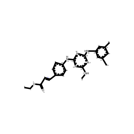 CCOC(=O)/C=C/c1ccc(Nc2nc(NC)nc(Nc3cc(C)cc(C)c3)n2)cc1